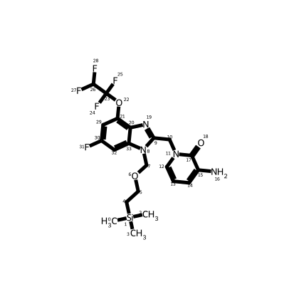 C[Si](C)(C)CCOCn1c(Cn2cccc(N)c2=O)nc2c(OC(F)(F)C(F)F)cc(F)cc21